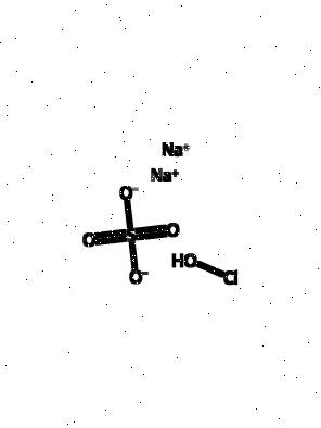 O=S(=O)([O-])[O-].OCl.[Na+].[Na+]